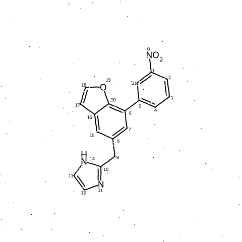 O=[N+]([O-])c1cccc(-c2cc(Cc3ncc[nH]3)cc3ccoc23)c1